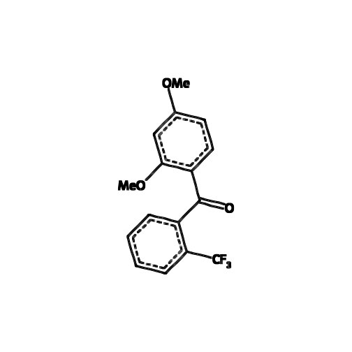 COc1ccc(C(=O)c2ccccc2C(F)(F)F)c(OC)c1